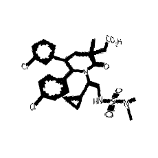 CN(C)S(=O)(=O)NCC(C1CC1)N1C(=O)C(C)(CC(=O)O)CC(c2cccc(Cl)c2)C1c1ccc(Cl)cc1